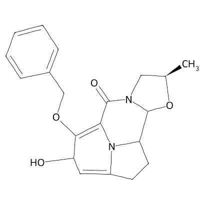 C[C@@H]1CN2C(=O)C3=C(OCc4ccccc4)C(O)C=C4CCC(C2O1)N43